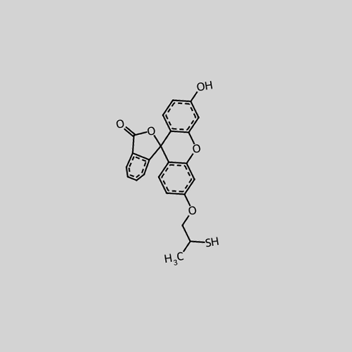 CC(S)COc1ccc2c(c1)Oc1cc(O)ccc1C21OC(=O)c2ccccc21